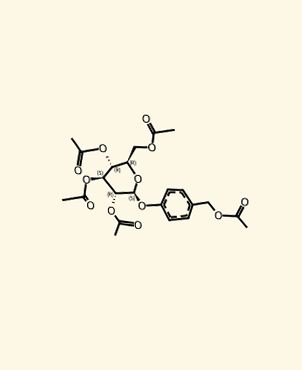 CC(=O)OCc1ccc(O[C@@H]2O[C@H](COC(C)=O)[C@@H](OC(C)=O)[C@H](OC(C)=O)[C@H]2OC(C)=O)cc1